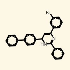 Brc1cccc(C2=CC(c3ccc(-c4ccccc4)cc3)NC(c3ccccc3)=N2)c1